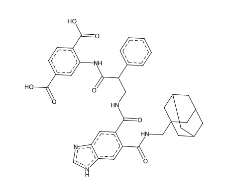 O=C(O)c1ccc(C(=O)O)c(NC(=O)C(CNC(=O)c2cc3nc[nH]c3cc2C(=O)NCC23CC4CC(CC(C4)C2)C3)c2ccccc2)c1